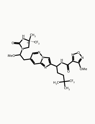 COc1nonc1C(=O)NC(CCC(C)(C)C(F)(F)F)c1cn2ncc(CC(OC)N3C[C@@](C)(C(F)(F)F)NC3=O)cc2n1